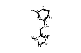 Cc1ccnc(OCc2ncnn2C)n1